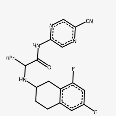 CCCC(NC1CCc2cc(F)cc(F)c2C1)C(=O)Nc1cnc(C#N)cn1